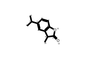 CC(C)c1ccc2c(c1)C(C)C(=O)O2